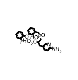 Nc1ccc(CC(CP(=O)(O)Cc2cccc(Oc3ccccc3F)c2)C(=O)O)cn1